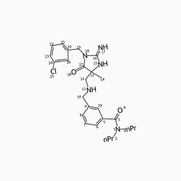 CCCN(CCC)C(=O)c1cccc(CNCC2(C)NC(=N)N(Cc3cccc(Cl)c3)C2=O)c1